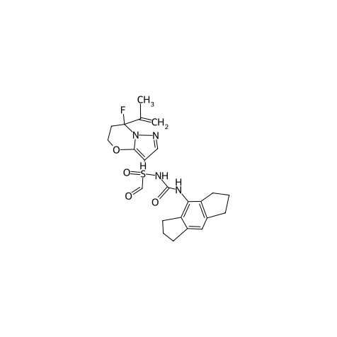 C=C(C)C1(F)CCOc2c([SH](=O)(C=O)NC(=O)Nc3c4c(cc5c3CCC5)CCC4)cnn21